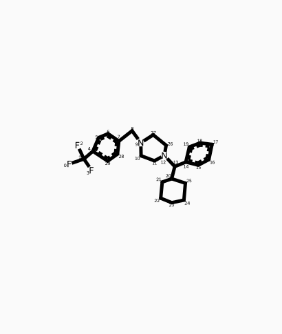 FC(F)(F)c1ccc(CN2CCN(C(c3ccccc3)C3CCCCC3)CC2)cc1